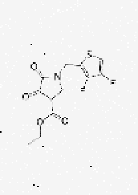 CCOC(=O)C1CN(Cc2scc(F)c2F)C(=O)C1=O